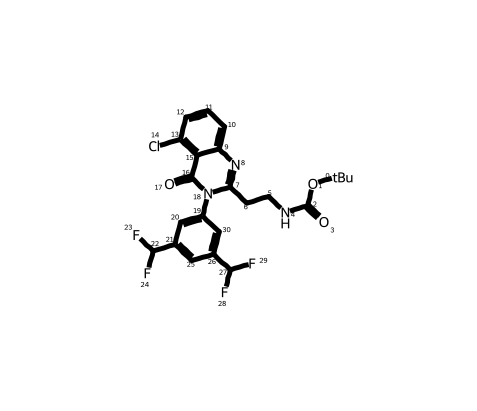 CC(C)(C)OC(=O)NCCc1nc2cccc(Cl)c2c(=O)n1-c1cc(C(F)F)cc(C(F)F)c1